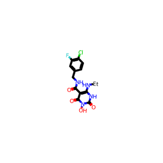 CCNc1[nH]c(=O)n(O)c(=O)c1C(=O)NCc1ccc(Cl)c(F)c1